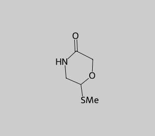 CSC1CNC(=O)CO1